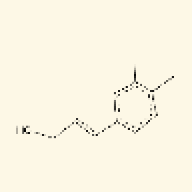 Cc1ccc(/C=C/CO)cc1C